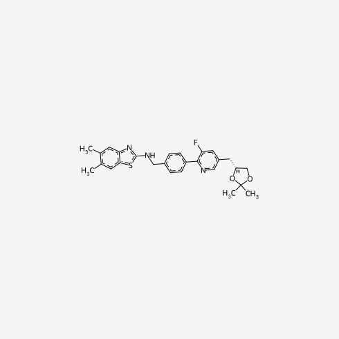 Cc1cc2nc(NCc3ccc(-c4ncc(C[C@@H]5COC(C)(C)O5)cc4F)cc3)sc2cc1C